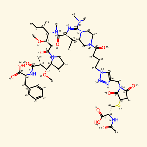 CC[C@H](C)[C@@H]([C@@H](CC(=O)N1CCC[C@H]1[C@H](OC)[C@@H](C)C(=O)N[C@@H](Cc1ccccc1)C(=O)O)OC)N(C)C(=O)[C@@H](/N=C(/N(C)C)N1CCN(C(=O)CCCn2cc(CN3C(=O)CC(SC[C@H](NC(C)=O)C(=O)O)C3=O)nn2)CC1)C(C)C